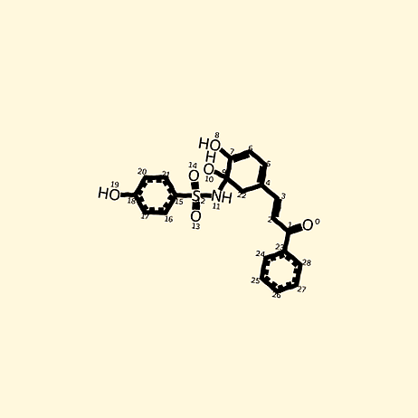 O=C(C=CC1=CC=C(O)C(O)(NS(=O)(=O)c2ccc(O)cc2)C1)c1ccccc1